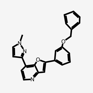 Cn1ccc(-c2ccnc3cc(-c4cccc(OCc5ccccc5)c4)oc23)n1